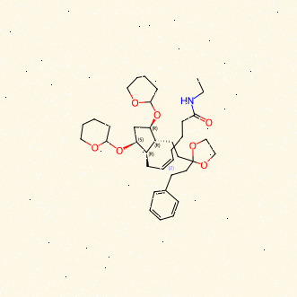 CCNC(=O)CCC/C=C\C[C@@H]1[C@@H](CCC2(CCc3ccccc3)OCCO2)[C@H](OC2CCCCO2)C[C@@H]1OC1CCCCO1